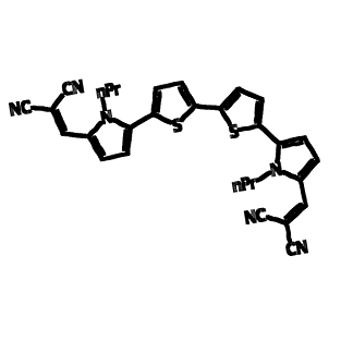 CCCn1c(C=C(C#N)C#N)ccc1-c1ccc(-c2ccc(-c3ccc(C=C(C#N)C#N)n3CCC)s2)s1